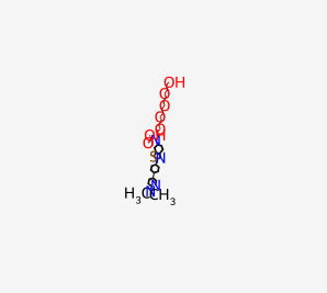 CN(C)c1ccc(-c2ccc(-c3nc4ccc(N(CCOCCOCCOCCOCCO)C(=O)O)cc4s3)cc2)cn1